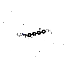 C/C=C/COc1ccc(-c2ccc(-c3ccc(C4=CCC(C)CC4)c(F)c3)cc2)c(F)c1F